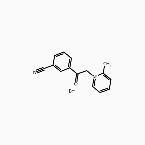 Cc1cccc[n+]1CC(=O)c1cccc(C#N)c1.[Br-]